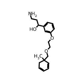 CC1(COCCOc2cccc(C(O)CCN)c2)C=CC=CC1